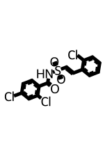 O=C(NS(=O)(=O)C=Cc1ccccc1Cl)c1ccc(Cl)cc1Cl